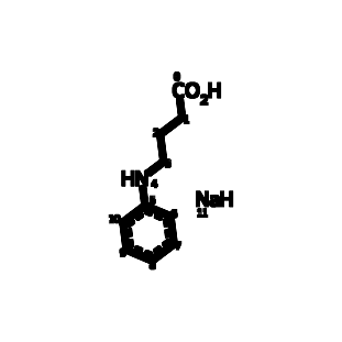 O=C(O)CCCNc1ccccc1.[NaH]